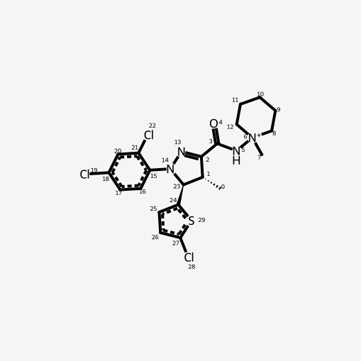 C[C@H]1C(C(=O)N[N+]2(C)CCCCC2)=NN(c2ccc(Cl)cc2Cl)[C@@H]1c1ccc(Cl)s1